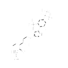 C=C/C(C(=O)NC1CC1)=C(Cl)\C=C/Cc1cc(-c2c(Cl)cc(C(F)(C(F)(F)F)C(F)(F)F)cc2C(F)(F)F)no1